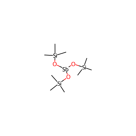 C[Si](C)(C)[O][Sb]([O][Si](C)(C)C)[O][Si](C)(C)C